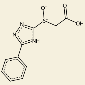 O=C(O)C[S+]([O-])c1nnc(-c2ccccc2)[nH]1